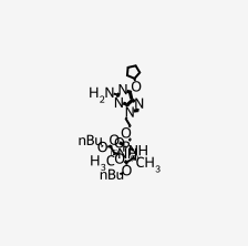 CCCCOC(=O)[C@H](C)NP(=O)(COCCn1cnc2c(OC3CCCC3)nc(N)nc21)N[C@@H](C)C(=O)OCCCC